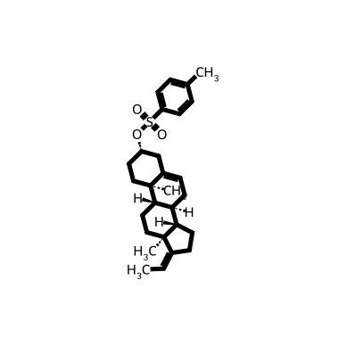 C/C=C1/CC[C@H]2[C@@H]3CC=C4C[C@@H](OS(=O)(=O)c5ccc(C)cc5)CC[C@]4(C)[C@H]3CC[C@]12C